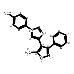 N#Cc1ccc(-n2cnc(-c3c(-c4ccccc4)noc3C(F)(F)F)c2)cc1